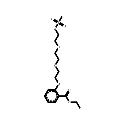 CCOC(=O)c1ccccc1OCCOCCOCCOS(C)(=O)=O